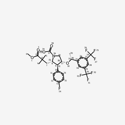 COC(=O)C(C)(C)C[C@H]1[C@H](c2ccc(F)cc2)[C@@H](O[C@H](C)c2cc(C(F)(F)F)cc(C(F)(F)F)c2)CN1C(=O)O